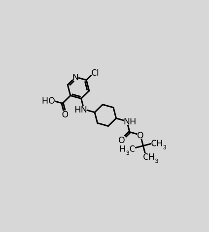 CC(C)(C)OC(=O)NC1CCC(Nc2cc(Cl)ncc2C(=O)O)CC1